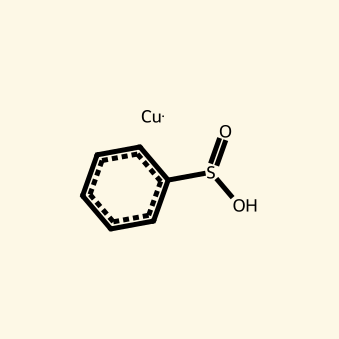 O=S(O)c1ccccc1.[Cu]